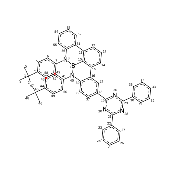 CC(C)(C)c1ccc(N2B3c4c(cccc4-c4cc(-c5nc(-c6ccccc6)nc(-c6ccccc6)n5)ccc4N3c3ccc(C(C)(C)C)cc3)-c3ccccc32)cc1